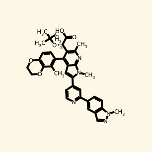 Cc1nc2c(cc(-c3ccnc(-c4ccc5c(cnn5C)c4)c3)n2C)c(-c2ccc3c(c2C)OCCO3)c1[C@H](OC(C)(C)C)C(=O)O